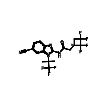 CC(C)(n1c(NC(=O)C[C@H]2CC(F)(F)C2(F)F)nc2ccc(C#N)cc21)C(F)(F)F